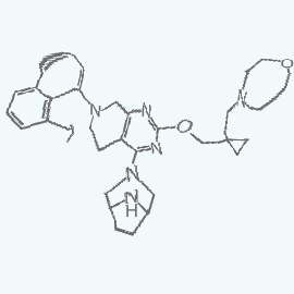 Ic1cccc2cccc(N3CCc4c(nc(OCC5(CN6CCOCC6)CC5)nc4N4CC5CCC(C4)N5)C3)c12